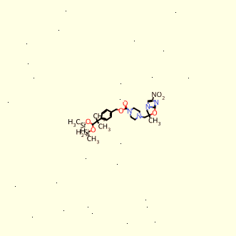 C[SiH2]OC(O[SiH2]C)C(C)(C)c1ccc(COC(=O)N2CCN(CC3(C)Cn4cc([N+](=O)[O-])nc4O3)CC2)cc1